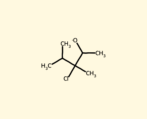 CC(C)C(C)(Cl)C(C)[O]